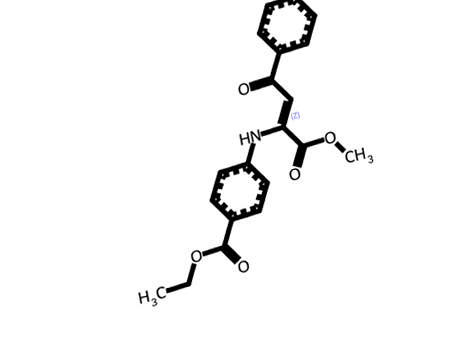 CCOC(=O)c1ccc(N/C(=C\C(=O)c2ccccc2)C(=O)OC)cc1